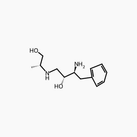 C[C@H](CO)NC[C@@H](O)[C@@H](N)Cc1ccccc1